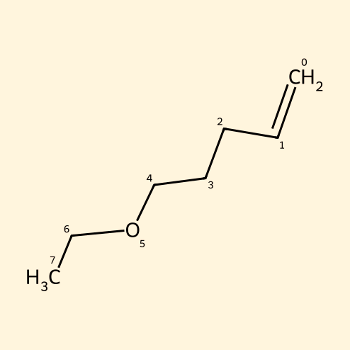 C=CCCCOCC